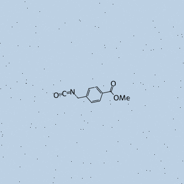 COC(=O)c1ccc(CN=C=O)cc1